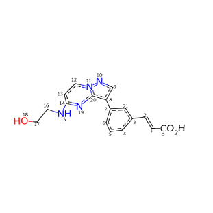 O=C(O)C=Cc1cccc(-c2cnn3ccc(NCCO)nc23)c1